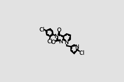 O=c1nc2n(Cc3ccc(Cl)nc3)cccc-2c(=O)n1-c1ccc(Cl)cc1Cl